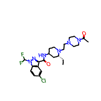 CC[C@@H]1CC(NC(=O)c2nn(C(F)F)c3ccc(Cl)cc23)CCN1CCN1CCN(C(C)=O)CC1